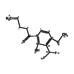 C=CCCC(=O)c1ccc(OC)c(C(F)F)c1O